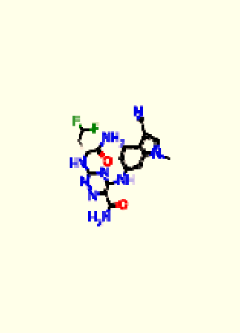 Cn1cc(C#N)c2ccc(Nc3nc(N[C@H](CC(F)F)C(N)=O)nnc3C(N)=O)cc21